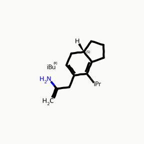 C=C(N)CC1=C([C@H](C)CC)C[C@@H]2CCCC2=C1C(C)C